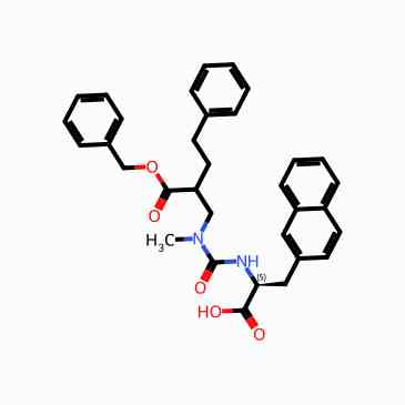 CN(CC(CCc1ccccc1)C(=O)OCc1ccccc1)C(=O)N[C@@H](Cc1ccc2ccccc2c1)C(=O)O